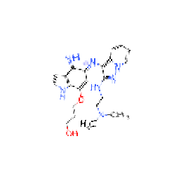 CN(C)CCNc1nn2ccccc2c1/N=C1\C=C(OCCCO)c2[nH]ccc2C1=N